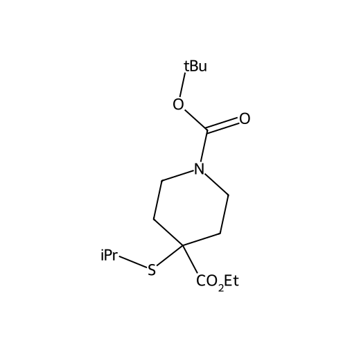 CCOC(=O)C1(SC(C)C)CCN(C(=O)OC(C)(C)C)CC1